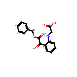 O=C(O)CNc1ccccc1C(=O)C(=O)OCc1ccccc1